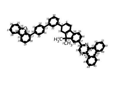 CC1(C)C2=C(C=CC(c3cccc(-c4ccc(-c5cccc6c5oc5ccccc56)cc4)c3)C2)c2ccc(-c3cnc4c5ccccc5c5ccccc5c4n3)cc21